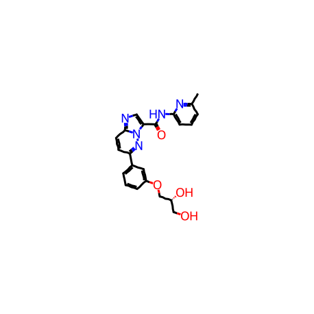 Cc1cccc(NC(=O)c2cnc3ccc(-c4cccc(OC[C@H](O)CO)c4)nn23)n1